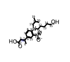 C/C(=C\C(=O)O)c1ccc(N(CCCCCO)CC(C)C)c([N+](=O)[O-])c1